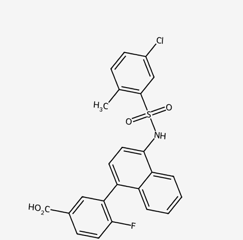 Cc1ccc(Cl)cc1S(=O)(=O)Nc1ccc(-c2cc(C(=O)O)ccc2F)c2ccccc12